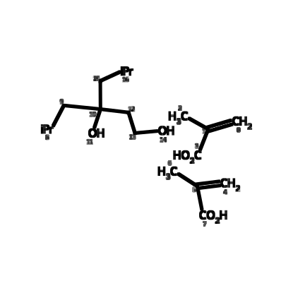 C=C(C)C(=O)O.C=C(C)C(=O)O.CC(C)CC(O)(CCO)CC(C)C